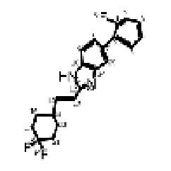 Fc1ccccc1-c1ccc2[nH]c(C=CC3CCC(F)(F)CC3)nc2c1